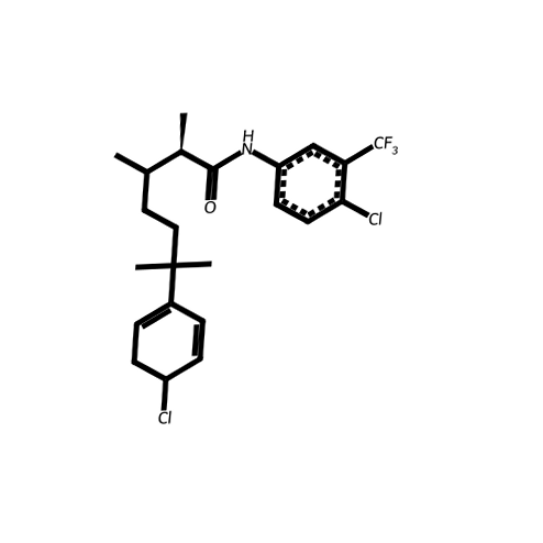 CC(CCC(C)(C)C1=CCC(Cl)C=C1)[C@@H](C)C(=O)Nc1ccc(Cl)c(C(F)(F)F)c1